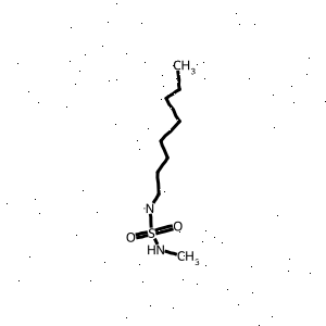 CCCCCCCC[N]S(=O)(=O)NC